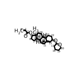 C=CC(=O)O[C@H]1CC[C@H]2[C@@H]3CCC4=C[C@@H](OC5CCCCO5)CC[C@]4(C=O)[C@H]3CC[C@]12C